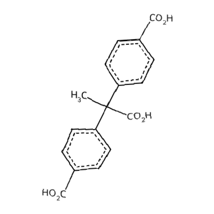 CC(C(=O)O)(c1ccc(C(=O)O)cc1)c1ccc(C(=O)O)cc1